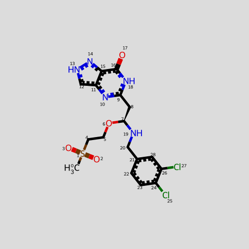 CS(=O)(=O)CCO[C@@H](Cc1nc2c[nH]nc2c(=O)[nH]1)NCc1ccc(Cl)c(Cl)c1